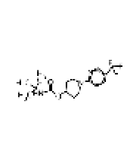 CC(C)(C)NC(=O)OC1CCN(c2ccc(C(F)(F)F)cn2)CC1